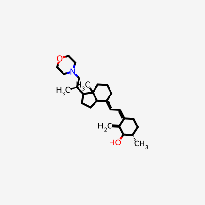 C=C1/C(=C\C=C2/CCCC3(C)C2CCC3[C@@H](C)CN2CCOCC2)CC[C@H](C)C1O